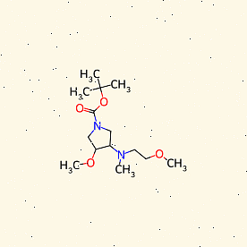 COCCN(C)C1CN(C(=O)OC(C)(C)C)CC1OC